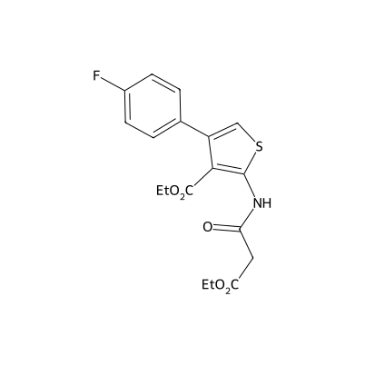 CCOC(=O)CC(=O)Nc1scc(-c2ccc(F)cc2)c1C(=O)OCC